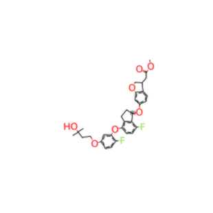 COC(=O)CC1COc2cc(O[C@@H]3CCc4c(Oc5cc(OCCC(C)(C)O)ccc5F)ccc(F)c43)ccc21